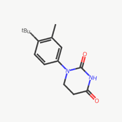 Cc1cc(N2CCC(=O)NC2=O)ccc1C(C)(C)C